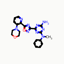 CN(c1ccccc1)c1nc(N)nc(-c2noc(-c3ncccc3N3CCOCC3)n2)n1